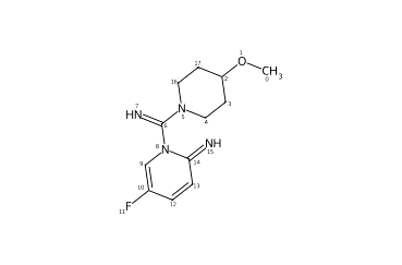 COC1CCN(C(=N)n2cc(F)ccc2=N)CC1